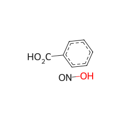 O=C(O)c1ccccc1.O=NO